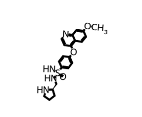 COc1ccc2c(Oc3ccc(S(=N)(=O)NC[C@H]4CCCN4)cc3)ccnc2c1